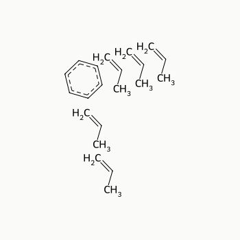 C=CC.C=CC.C=CC.C=CC.C=CC.c1ccccc1